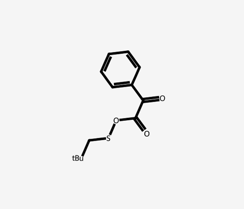 CC(C)(C)CSOC(=O)C(=O)c1ccccc1